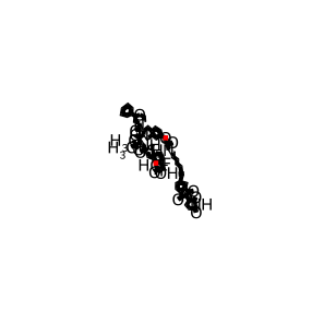 CC(C)(C)[C@H](NC(=O)c1cc2cc(C(F)(F)P(=O)(O)O)ccc2s1)C(=O)N1Cc2cc(OCC(=O)NCCCCCC#Cc3ccc4c(c3)C(=O)N(C3CCC(=O)NC3=O)C4=O)ccc2C[C@H]1C(=O)N1CCOC(c2ccccc2)C1